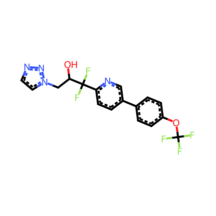 OC(Cn1ccnn1)C(F)(F)c1ccc(-c2ccc(OC(F)(F)F)cc2)cn1